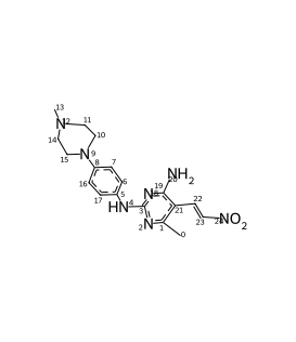 Cc1nc(Nc2ccc(N3CCN(C)CC3)cc2)nc(N)c1C=C[N+](=O)[O-]